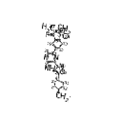 [CH2]c1ccc(-c2cc(-c3nc(-c4ccc5c(c4)C(F)C(C)(C)S5(=O)=O)cnc3N)no2)cc1